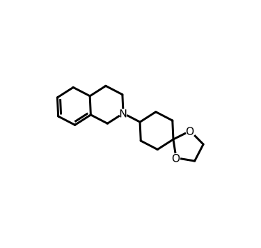 C1=CCC2CCN(C3CCC4(CC3)OCCO4)CC2=C1